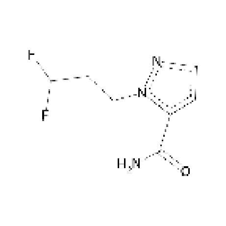 NC(=O)c1ccnn1CCC(F)F